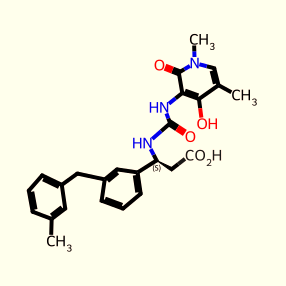 Cc1cccc(Cc2cccc([C@H](CC(=O)O)NC(=O)Nc3c(O)c(C)cn(C)c3=O)c2)c1